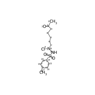 CC(=O)CCCCCN(Cl)NS(=O)(=O)c1ccc(C)cc1